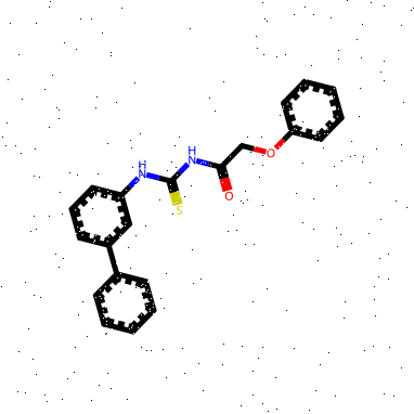 O=C(COc1ccccc1)NC(=S)Nc1cccc(-c2ccccc2)c1